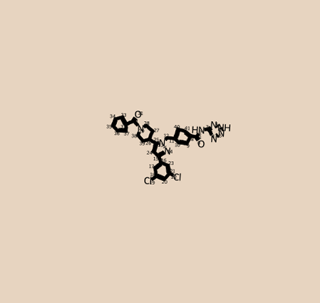 O=C(Nc1nn[nH]n1)c1ccc(Cn2nc(-c3cc(Cl)cc(Cl)c3)cc2C2CCN(C(=O)c3ccccc3)CC2)cc1